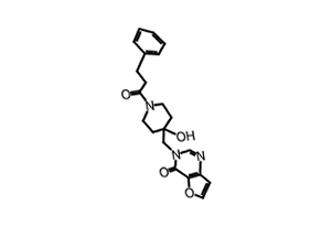 O=C(CCc1ccccc1)N1CCC(O)(Cn2cnc3ccoc3c2=O)CC1